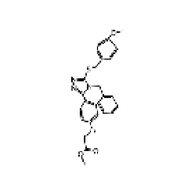 COC(=O)COc1ccc(-c2nnc(SCc3ccc(OC)cc3)n2Cc2ccccc2)cc1